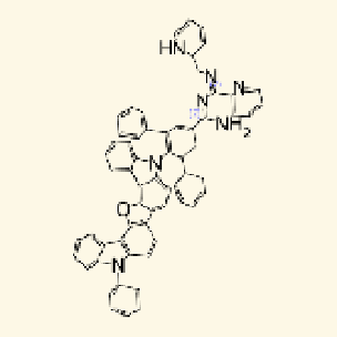 N/C(=N\C(=N/CC1C=CC=CN1)c1ccccn1)C1=CC(c2ccccc2)=C(n2c3ccccc3c3c4oc5c(ccc6c5c5ccccc5n6-c5ccccc5)c4ccc32)C(C2C=CC=CC2)C1